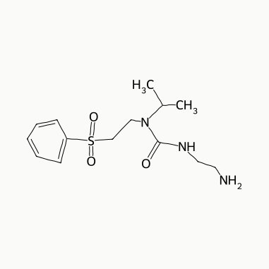 CC(C)N(CCS(=O)(=O)c1ccccc1)C(=O)NCCN